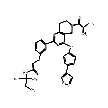 CCC(C)(C)NC(=O)COc1cccc(-c2nc3c(c(Nc4ccc(-c5cn[nH]c5)cc4)n2)CN(C(=O)C(C)C)CC3)c1